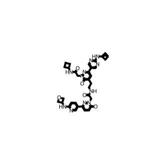 O=C(Cn1nc(-c2ccc(NC3COC3)nc2)ccc1=O)NCCc1cc(-c2cnc(NC34CC(C3)C4)nc2)nn(CC(=O)NC2CCC2)c1=O